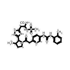 Cc1ccccc1NC(=O)Nc1ccc(CC(=O)N2CCC(C)C2c2noc(CC(NS(C)(=O)=O)C(=O)O)n2)nc1